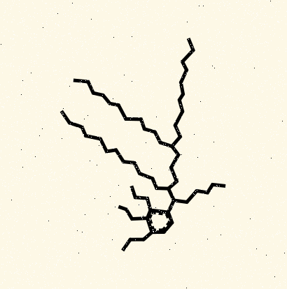 CCCCCCCCCCCCC(CC[CH]C(CCCCCCCCCC)CCCCCCCCCCC)C(CCCCC)c1ccc(CCC)c(CCC)c1CCC